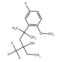 CCC(O)(CC(C)(C)c1cc(F)ccc1OC)C(F)(F)F